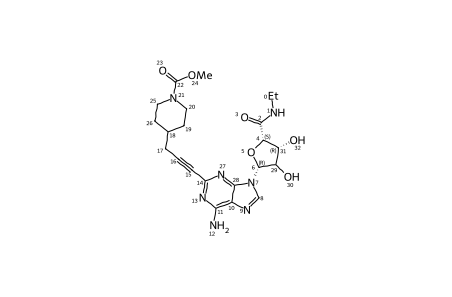 CCNC(=O)[C@H]1O[C@@H](n2cnc3c(N)nc(C#CCC4CCN(C(=O)OC)CC4)nc32)C(O)[C@H]1O